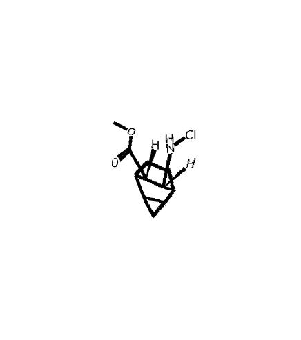 COC(=O)[C@H]1C2CCC(C3CC32)[C@H]1NCl